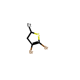 CCC1CC(Br)=C(Br)S1